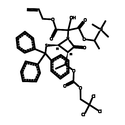 C=CCOC(=O)C(O)(C(=O)OC(C)[Si](C)(C)C)N1C(=O)[C@H](C(C)OC(=O)OCC(Cl)(Cl)Cl)[C@H]1SC(c1ccccc1)(c1ccccc1)c1ccccc1